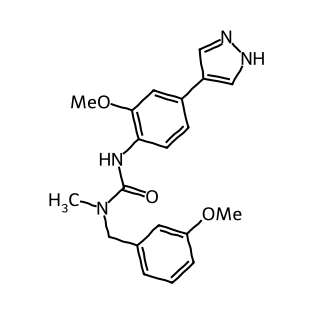 COc1cccc(CN(C)C(=O)Nc2ccc(-c3cn[nH]c3)cc2OC)c1